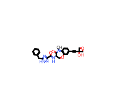 CN1C(=O)[C@@H](NC(=O)c2n[nH]c(Cc3ccccc3)n2)COc2cc(C#CC3(O)COC3)ccc21